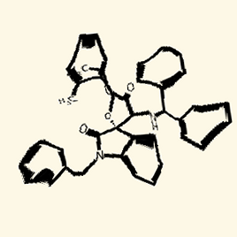 CCOC(=O)C(NC(c1ccccc1)c1ccccc1)[C@]1(OCc2ccccc2C)C(=O)N(Cc2ccccc2)c2ccccc21